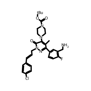 Cc1c(-c2ccc(F)c(CN)c2)nn(CC=Cc2ccc(Cl)cc2)c(=O)c1N1CCN(C(=O)OC(C)(C)C)CC1